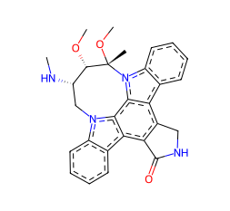 CN[C@H]1Cn2c3ccccc3c3c4c(c5c6ccccc6n(c5c32)[C@@](C)(OC)[C@H]1OC)CNC4=O